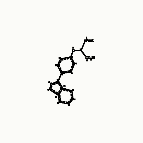 CCCCCC(Oc1ccc(-c2occ3ccccc23)cc1)C(=O)OCC